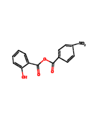 O=C(OC(=O)c1ccccc1O)c1ccc([N+](=O)[O-])cc1